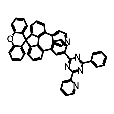 c1ccc(-c2nc(-c3cccc(-c4cccc5c4-c4c(-c6ccncc6)cccc4C54c5ccccc5Oc5ccccc54)c3)nc(-c3ccccn3)n2)cc1